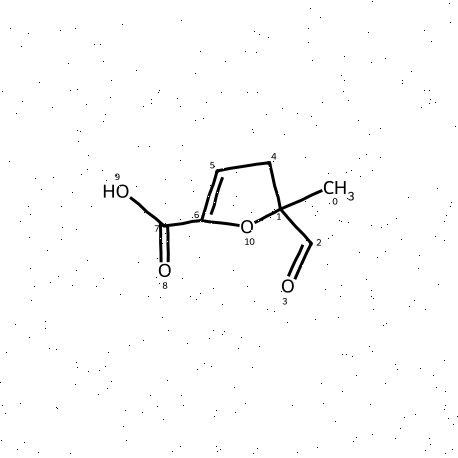 CC1(C=O)CC=C(C(=O)O)O1